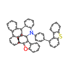 c1ccc(N(c2ccc(-c3cccc4sc5ccccc5c34)cc2)c2cccc3oc4ccccc4c23)c(-c2cc3ccccc3c3ccccc23)c1